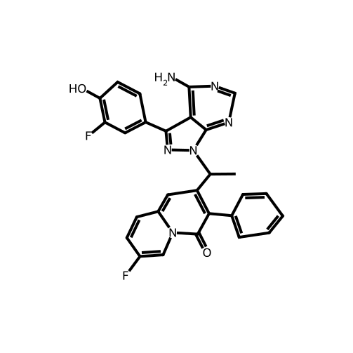 CC(c1cc2ccc(F)cn2c(=O)c1-c1ccccc1)n1nc(-c2ccc(O)c(F)c2)c2c(N)ncnc21